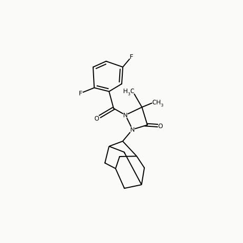 CC1(C)C(=O)N(C2C3CC4CC(C3)CC2C4)N1C(=O)c1cc(F)ccc1F